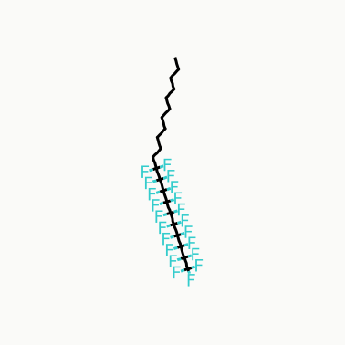 CCCCCCCCCCCC(F)(F)C(F)(F)C(F)(F)C(F)(F)C(F)(F)C(F)(F)C(F)(F)C(F)(F)C(F)(F)C(F)(F)F